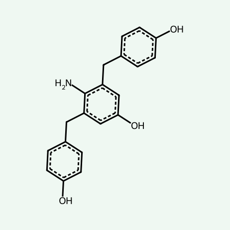 Nc1c(Cc2ccc(O)cc2)cc(O)cc1Cc1ccc(O)cc1